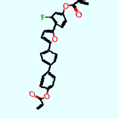 C=CC(=O)Oc1ccc(-c2ccc(-c3ccc(-c4ccc(OC(=O)C=C)cc4F)o3)cc2)cc1